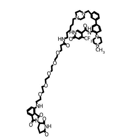 CN1CCN(c2ccc(-c3cccc(CN4CCN(CCCCCCNC(=O)CCOCCOCCOCCOCCOCCNc5cccc6c5C(=O)N(C5CCC(=O)NC5=O)C6=O)CC4)c3)cc2NC(=O)c2c[nH]c(=O)cc2C(F)(F)F)CC1